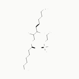 CCCCCCCCCCCCC/C=C/C(O)C(N)COC(=O)CCCCCCCCCCCCCCC.NCCOP(=O)(O)O